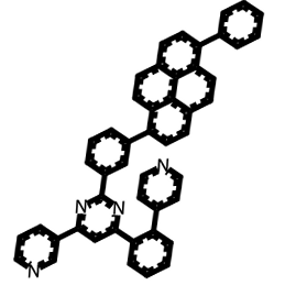 c1ccc(-c2ccc3ccc4c(-c5cccc(-c6nc(-c7cccnc7)cc(-c7ccccc7-c7ccncc7)n6)c5)ccc5ccc2c3c54)cc1